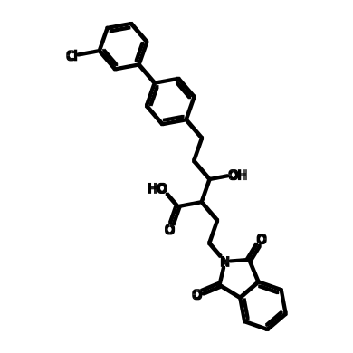 O=C(O)C(CCN1C(=O)c2ccccc2C1=O)C(O)CCc1ccc(-c2cccc(Cl)c2)cc1